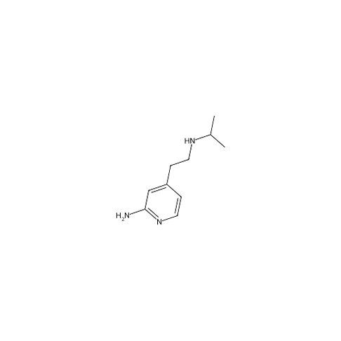 CC(C)NCCc1ccnc(N)c1